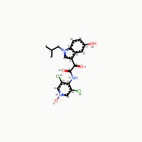 CC(C)Cn1cc(C(=O)C(=O)Nc2c(Cl)c[n+]([O-])cc2Cl)c2cc(O)ccc21